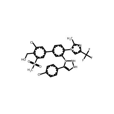 Cc1nc(C(F)(F)F)cn1-c1ccc(-c2cc(Cl)c(CO)c(S(C)(=O)=O)c2)cc1N1NNC=C1c1ccc(Cl)cc1